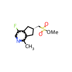 COS(=O)(=O)C[C@H]1Cc2c(F)cnc(C)c2C1